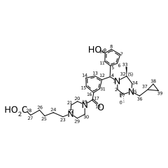 C[C@@H]1CN(C(c2cccc(O)c2)c2cccc(C(=O)N3CCN(CCCCCC(=O)O)CC3)c2)[C@@H](C)CN1CC1CC1